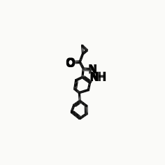 O=C(c1n[nH]c2c1C=CC(c1ccccc1)C2)C1CC1